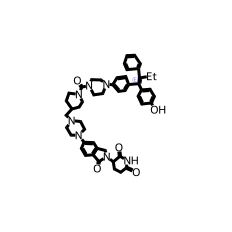 CC/C(=C(\c1ccc(O)cc1)c1ccc(N2CCN(C(=O)N3CCC(CN4CCN(c5ccc6c(c5)CN(C5CCC(=O)NC5=O)C6=O)CC4)CC3)CC2)cc1)c1ccccc1